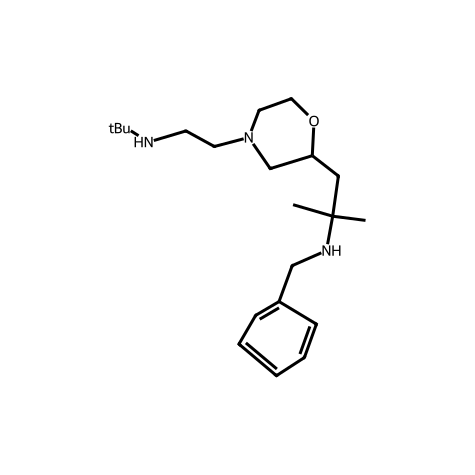 CC(C)(C)NCCN1CCOC(CC(C)(C)NCc2ccccc2)C1